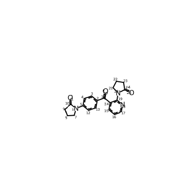 O=C(c1ccc(N2CCCC2=O)cc1)c1cccnc1N1CCCC1=O